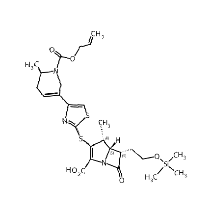 C=CCOC(=O)N1CC(c2csc(SC3=C(C(=O)O)N4C(=O)[C@@H](CCO[Si](C)(C)C)[C@H]4[C@H]3C)n2)=CCC1C